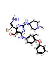 CN/C=C(/Br)c1nc(NC2CCN(C)CC2)nc(Nc2ccc(Oc3ccccc3)c(C)c2)c1C=O